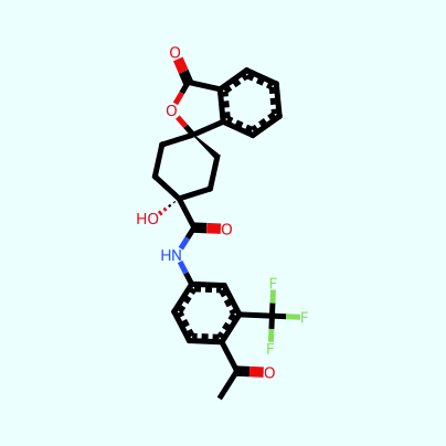 CC(=O)c1ccc(NC(=O)[C@]2(O)CC[C@@]3(CC2)OC(=O)c2ccccc23)cc1C(F)(F)F